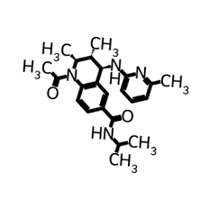 CC(=O)N1c2ccc(C(=O)NC(C)C)cc2[C@H](Nc2cccc(C)n2)[C@@H](C)[C@@H]1C